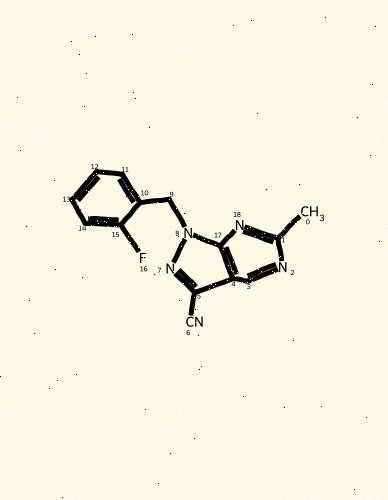 Cc1ncc2c(C#N)nn(Cc3ccccc3F)c2n1